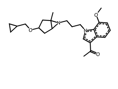 COc1cccc2c(C(C)=O)cn(CCCN3C4CC(OCC5CC5)CC43C)c12